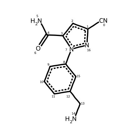 N#Cc1cc(C(N)=O)n(-c2cccc(CN)c2)n1